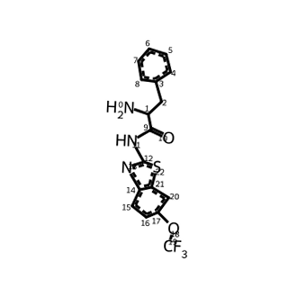 NC(Cc1ccccc1)C(=O)Nc1nc2ccc(OC(F)(F)F)cc2s1